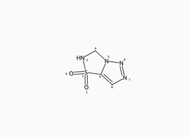 O=S1(=O)NCn2nncc21